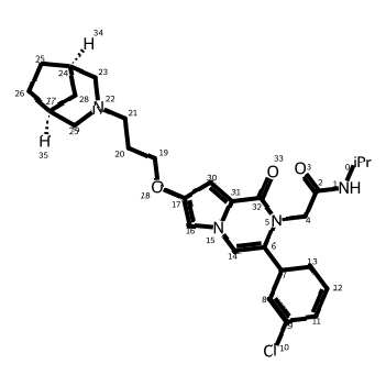 CC(C)NC(=O)Cn1c(C2C=C(Cl)C=CC2)cn2cc(OCCCN3C[C@@H]4CC[C@@H](C4)C3)cc2c1=O